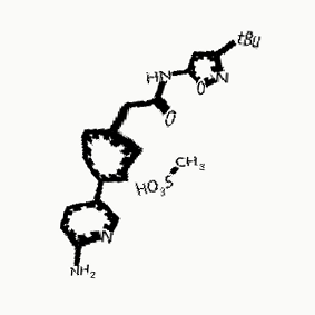 CC(C)(C)c1cc(NC(=O)Cc2ccc(-c3ccc(N)nc3)cc2)on1.CS(=O)(=O)O